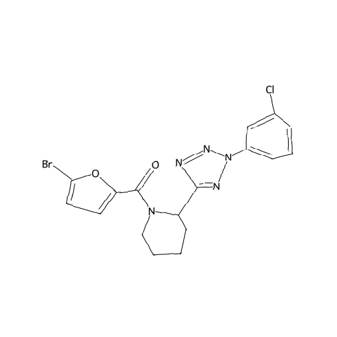 O=C(c1ccc(Br)o1)N1CCCCC1c1nnn(-c2cccc(Cl)c2)n1